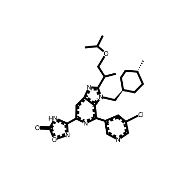 CC(C)OCC(C)c1nc2cc(-c3noc(=O)[nH]3)nc(-c3cncc(Cl)c3)c2n1C[C@H]1CC[C@H](C)CC1